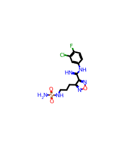 N=C(Nc1ccc(F)c(Cl)c1)c1nonc1CCCNS(N)(=O)=O